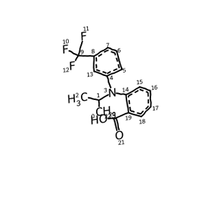 CC(C)N(c1cccc(C(F)(F)F)c1)c1ccccc1C(=O)O